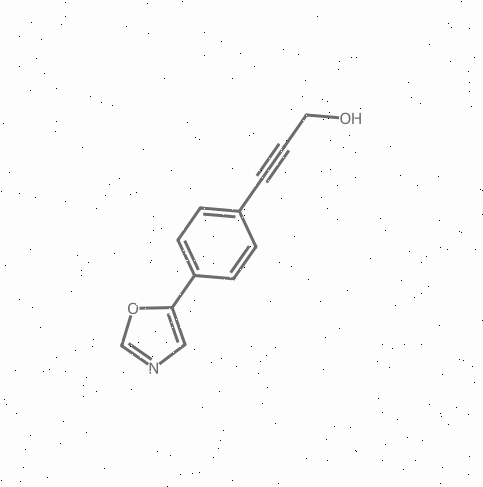 OCC#Cc1ccc(-c2cnco2)cc1